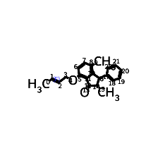 C/C=C/COc1ccc(C)c2c1C(=O)C(C)C2c1ccccc1